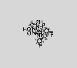 C[C@@H](Nc1nc(C(=O)O)nc2nc(N3CCCC3c3cccc(F)c3)n(Cc3ccc(CF)cc3)c12)C1CCC1